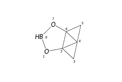 B1OC23CC24CC43O1